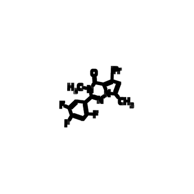 Cc1cc(C(C)C)c2c(=O)n(C)c(-c3cc(F)c(F)cc3F)nn12